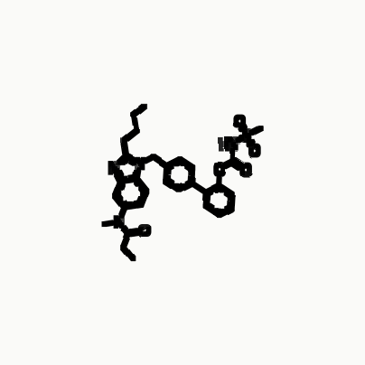 CCCCc1nc2cc(N(C)C(=O)CC)ccc2n1Cc1ccc(-c2ccccc2OC(=O)NS(C)(=O)=O)cc1